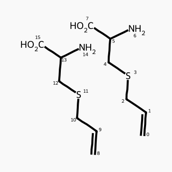 C=CCSCC(N)C(=O)O.C=CCSCC(N)C(=O)O